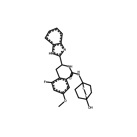 COc1cc(F)c(CC(NC(=O)NC23CCC(O)(CC2)CC3)c2nc3ccccc3[nH]2)c(F)c1